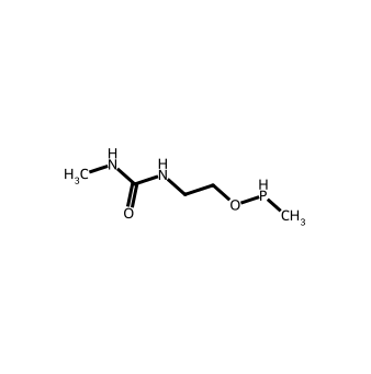 CNC(=O)NCCOPC